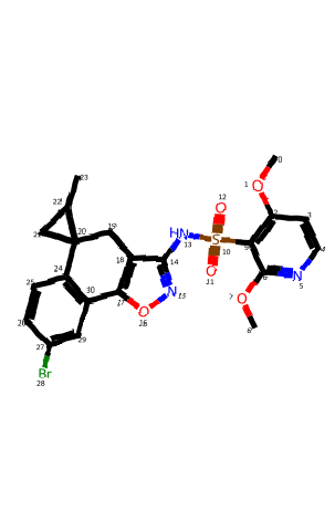 COc1ccnc(OC)c1S(=O)(=O)Nc1noc2c1CC1(CC1C)c1ccc(Br)cc1-2